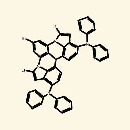 CCc1cc2c3c(c1)-n1c(CC)cc4c(N(c5ccccc5)c5ccccc5)ccc(c41)B3c1ccc(N(c3ccccc3)c3ccccc3)c3cc(CC)n-2c13